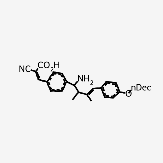 CCCCCCCCCCOc1ccc(C=C(C)C(C)C(N)c2ccc(C=C(C#N)C(=O)O)cc2)cc1